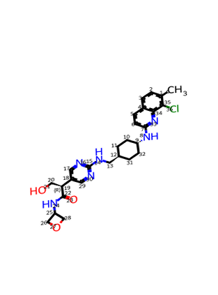 Cc1ccc2ccc(N[C@H]3CC[C@H](CNc4ncc([C@H](CO)C(=O)NC5COC5)cn4)CC3)nc2c1Cl